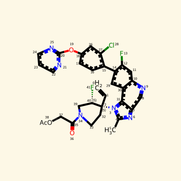 C=C[C@@]1(n2c(C)nc3cnc4cc(F)c(-c5ccc(Oc6ncccn6)cc5Cl)cc4c32)CCN(C(=O)COC(C)=O)C[C@@H]1F